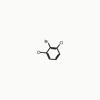 Clc1c[c]cc(Cl)c1Br